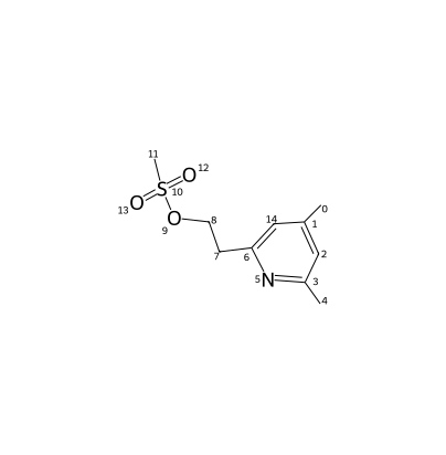 Cc1cc(C)nc(CCOS(C)(=O)=O)c1